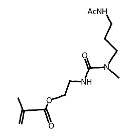 C=C(C)C(=O)OCCNC(=O)N(C)CCCNC(C)=O